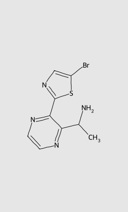 CC(N)c1nccnc1-c1ncc(Br)s1